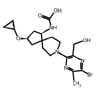 Cc1nc(N2CCC3(CC2)C[C@@H](OC2CC2)C[C@H]3NC(=O)O)c(CO)nc1Br